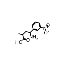 CC(CC(N)c1cccc([N+](=O)[O-])c1)C(=O)O